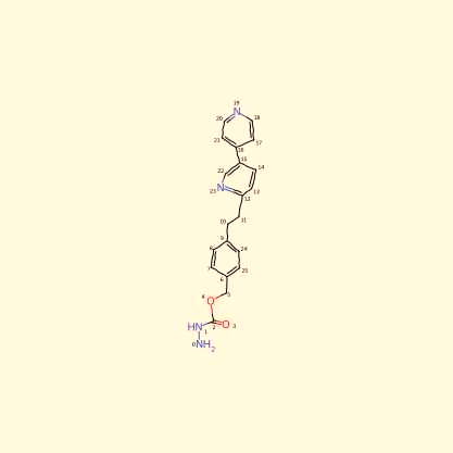 NNC(=O)OCc1ccc(CCc2ccc(-c3ccncc3)cn2)cc1